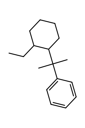 CCC1CCCCC1C(C)(C)c1ccccc1